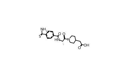 C[C@H](NC(=O)c1ccc(C(N)=S)cc1)C(=O)N1CCC(CC(=O)O)CC1